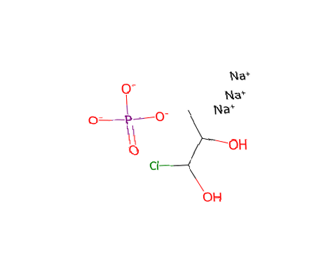 CC(O)C(O)Cl.O=P([O-])([O-])[O-].[Na+].[Na+].[Na+]